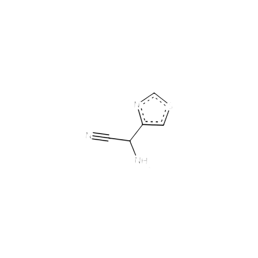 N#CC(N)c1cscn1